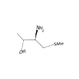 CSC[C@H](N)C(C)O